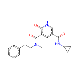 CN(CCc1ccccc1)C(=O)c1cc(C(=O)NC2CC2)c[nH]c1=O